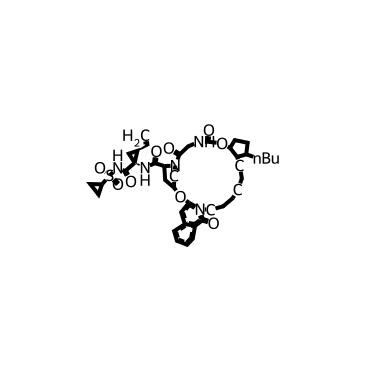 C=C[C@@H]1C[C@]1(NC(=O)C1CC2CN1C(=O)CNC(=O)OC1CCC(CCCC)C1CCCCCCn1c(cc3ccccc3c1=O)O2)C(=O)NS(=O)(=O)C1CC1